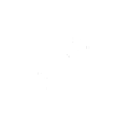 COc1cc(C2CCN(C(=O)OC(C)(C)C)CC2)c(F)cc1CCl